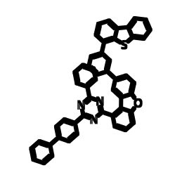 c1ccc(-c2ccc(-c3nc(-c4ccccc4)nc(-c4cccc5oc6ccc(-c7cccc(-c8cccc9c8sc8ccccc89)c7)cc6c45)n3)cc2)cc1